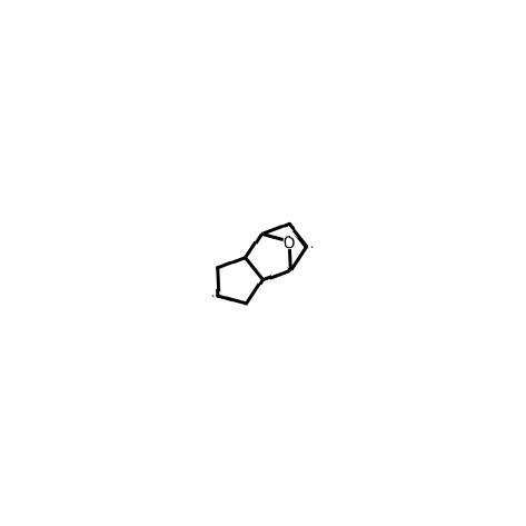 [CH]1CC2C3[CH]CC(O3)C2C1